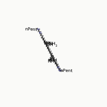 CCCCC/C=C\C/C=C/CCCCCCCCN(CCCCCCCCCCCCN(CCCCCCCC/C=C/C/C=C\CCCCC)CC(O)CN)CC(O)CN